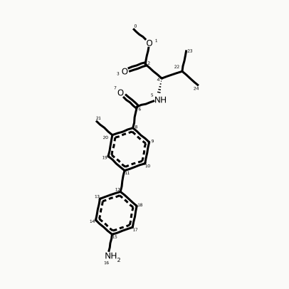 COC(=O)[C@@H](NC(=O)c1ccc(-c2ccc(N)cc2)cc1C)C(C)C